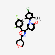 Cc1cc(Cl)cc(C)c1-n1cc(-c2nc(C3CCOCC3)oc2-c2ccc(F)cc2F)ccc1=O